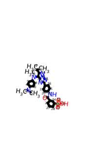 CN(C)c1ccc(/N=C2/C(C(C)(C)C)=Nn3nc(-c4ccc(NC(=O)c5cccc(S(=O)(=O)O)c5)cc4)nc32)cc1